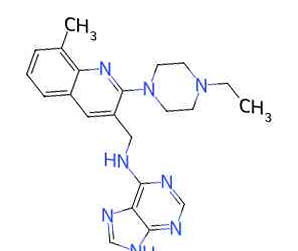 CCN1CCN(c2nc3c(C)cccc3cc2CNc2ncnc3[nH]cnc23)CC1